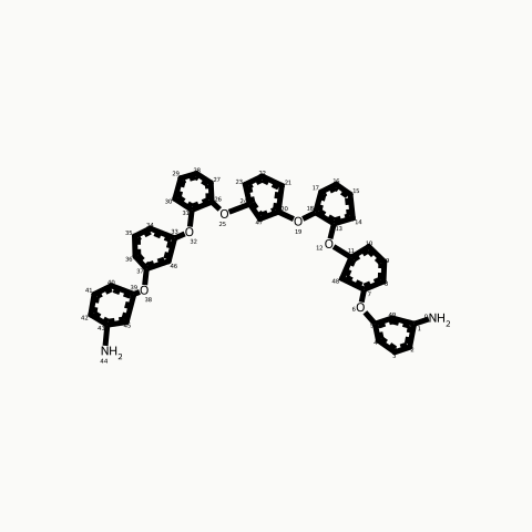 Nc1cccc(Oc2cccc(Oc3ccccc3Oc3cccc(Oc4ccccc4Oc4cccc(Oc5cccc(N)c5)c4)c3)c2)c1